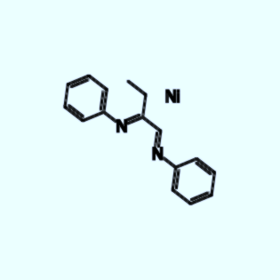 CCC(C=Nc1ccccc1)=Nc1ccccc1.[Ni]